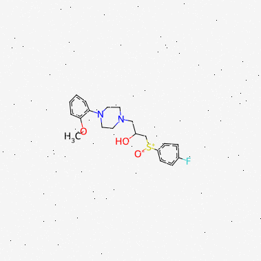 COc1ccccc1N1CCN(CC(O)C[S+]([O-])c2ccc(F)cc2)CC1